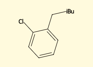 CCC(C)Cc1ccccc1Cl